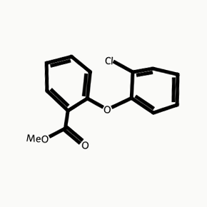 COC(=O)c1ccccc1Oc1ccccc1Cl